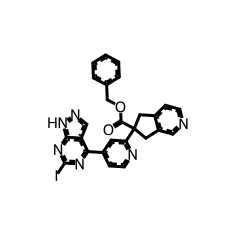 O=C(OCc1ccccc1)C1(c2cc(-c3nc(I)nc4[nH]ncc34)ccn2)Cc2ccncc2C1